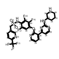 O=S(=O)(Cc1ccc(C(F)(F)F)nc1)Nc1c(F)cc(Oc2ncccc2-c2ccnc(NC3CCCNC3)n2)c(F)c1F